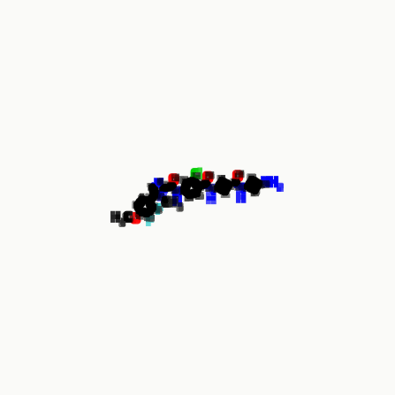 COc1ccc(-c2cnc(C(=O)Nc3ccc(C(=O)N[C@H]4C[C@@H](C(=O)N[C@H]5C[C@@H](N)C5)C4)c(Cl)c3)n2C)c(F)c1F